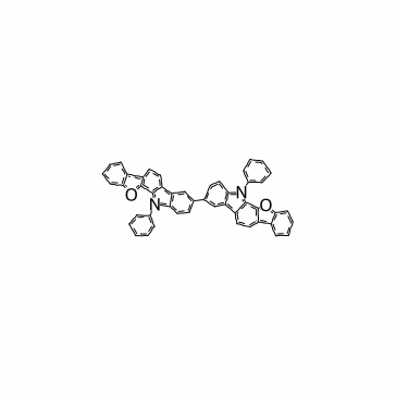 c1ccc(-n2c3ccc(-c4ccc5c(c4)c4ccc6c7ccccc7oc6c4n5-c4ccccc4)cc3c3ccc4c5ccccc5oc4c32)cc1